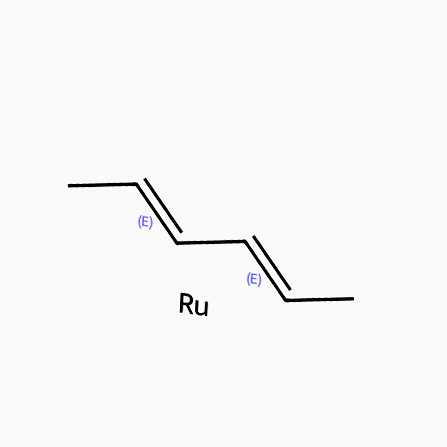 C/C=C/C=C/C.[Ru]